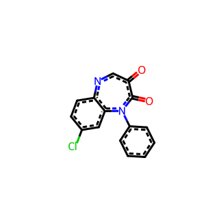 O=c1cnc2ccc(Cl)cc2n(-c2ccccc2)c1=O